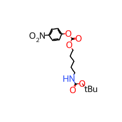 CC(C)(C)OC(=O)NCCCCCOC(=O)Oc1ccc([N+](=O)[O-])cc1